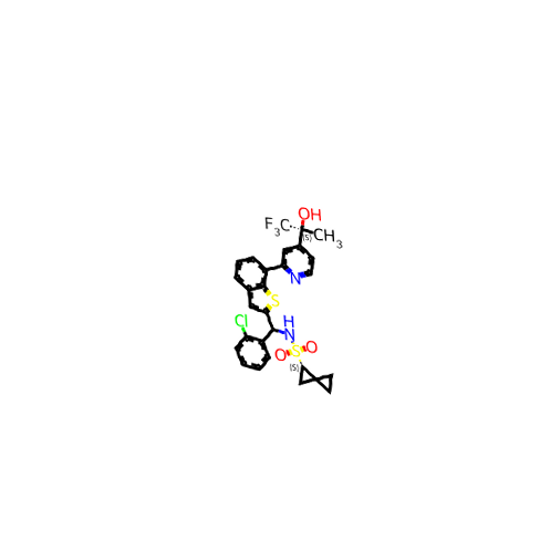 C[C@](O)(c1ccnc(-c2cccc3cc(C(NS(=O)(=O)[C@H]4CC45CC5)c4ccccc4Cl)sc23)c1)C(F)(F)F